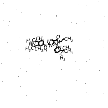 C=CCn1c(=O)c2cnc(Nc3ccc4c(c3)C(C)(C)NC4(C)C)nc2n1-c1cccc(C(C)(C)C)n1